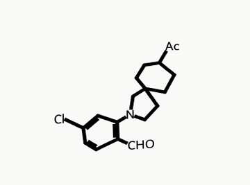 CC(=O)C1CCC2(CC1)CCN(c1cc(Cl)ccc1C=O)C2